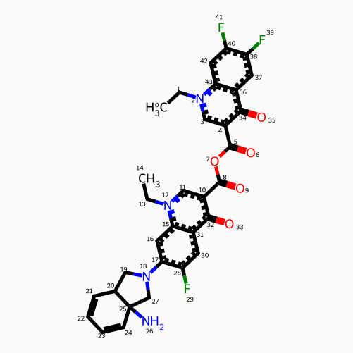 CCn1cc(C(=O)OC(=O)c2cn(CC)c3cc(N4CC5C=CC=CC5(N)C4)c(F)cc3c2=O)c(=O)c2cc(F)c(F)cc21